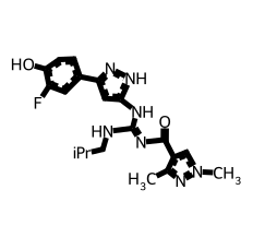 Cc1nn(C)cc1C(=O)/N=C(/NCC(C)C)Nc1cc(-c2ccc(O)c(F)c2)n[nH]1